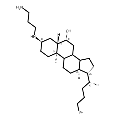 CC(C)CCC[C@@H](C)[C@H]1CCC2C3C[C@@H](O)[C@H]4C[C@H](NCCCN)CC[C@]4(C)C3CC[C@@]21C